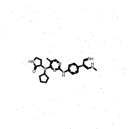 CN/C=C(\C=N)c1ccc(Nc2ncc(C)c(N(C3CCCC3)C3CCNC3=O)n2)cc1